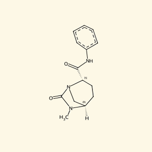 CN1C(=O)N2C[C@H]1CC[C@H]2C(=O)Nc1ccccc1